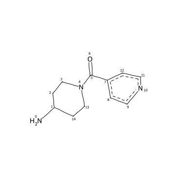 NC1CCN(C(=O)c2ccncc2)CC1